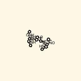 Cc1ccccc1NC(=O)c1cc2ccc3c4ccccc4[nH]c3c2c(N=Nc2ccc3c4c(cccc24)C(=O)c2cc(N=Nc4c(O)c(C(N=O)c5ccccc5C)cc5ccc6c7ccccc7[nH]c6c45)ccc2-3)c1O